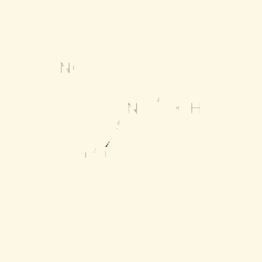 CCCC[C@H]1C2C(C#N)CC([C@H](O)[C@@H]1c1ccccc1)N2C